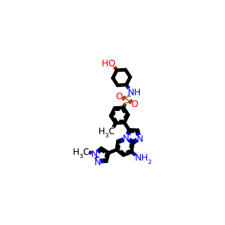 Cc1ccc(S(=O)(=O)NC2CCC(O)CC2)cc1-c1cnc2c(N)cc(-c3cnn(C)c3)cn12